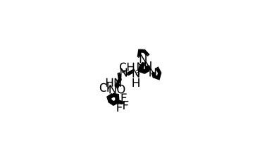 CN(CCNC(=O)N(Cl)c1cccc(C(F)(F)F)c1)CCNc1cc(N2CCCC2)nc(N2CCCC2)n1